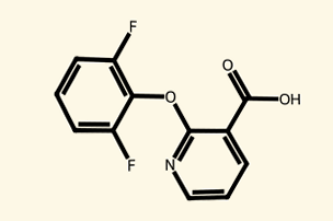 O=C(O)c1cccnc1Oc1c(F)cccc1F